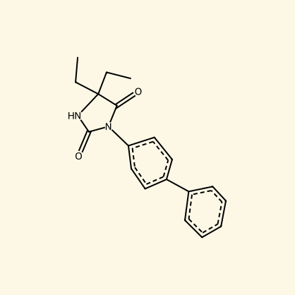 CCC1(CC)NC(=O)N(c2ccc(-c3ccccc3)cc2)C1=O